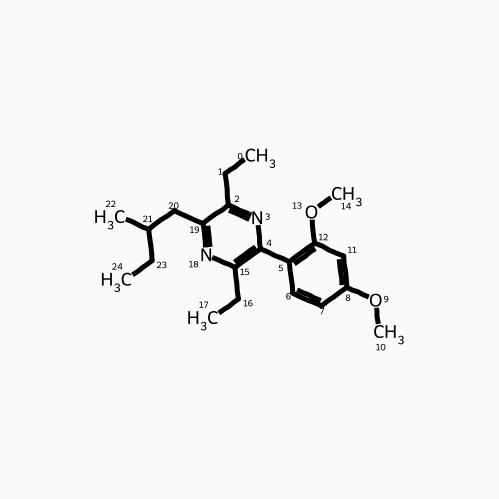 CCc1nc(-c2ccc(OC)cc2OC)c(CC)nc1CC(C)CC